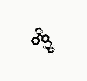 O=c1ccsn1Cc1ccc(C2(c3ccccc3)OCCO2)cc1